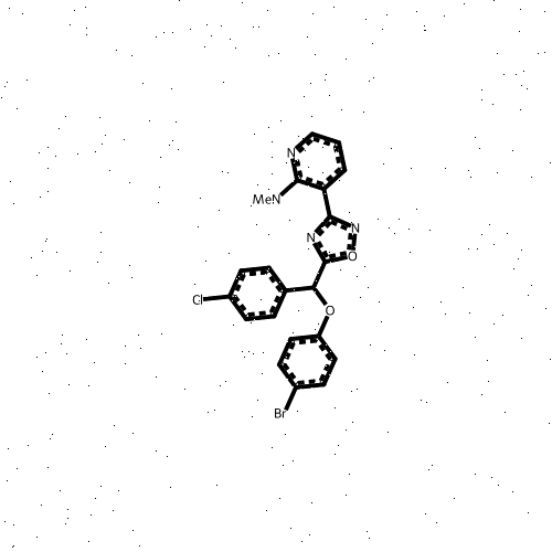 CNc1ncccc1-c1noc(C(Oc2ccc(Br)cc2)c2ccc(Cl)cc2)n1